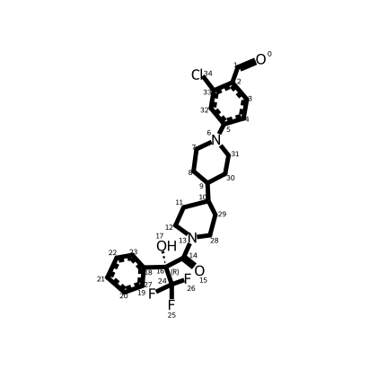 O=Cc1ccc(N2CCC(C3CCN(C(=O)[C@](O)(c4ccccc4)C(F)(F)F)CC3)CC2)cc1Cl